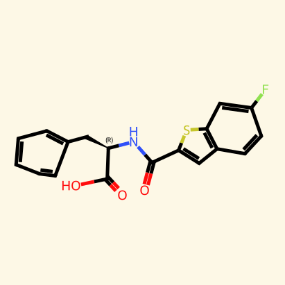 O=C(N[C@H](Cc1ccccc1)C(=O)O)c1cc2ccc(F)cc2s1